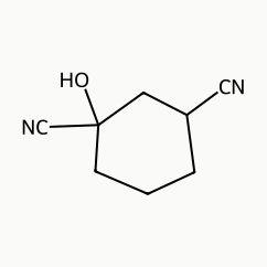 N#CC1CCCC(O)(C#N)C1